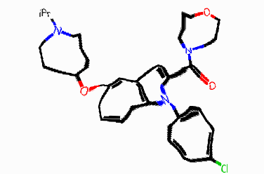 CC(C)N1CCC(Oc2ccc3c(c2)cc(C(=O)N2CCOCC2)n3-c2ccc(Cl)cc2)CC1